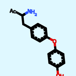 CC(=O)C(N)Cc1ccc(Oc2ccc(O)cc2)cc1